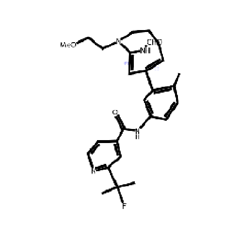 COCCN1CCC/C=C(c2cc(NC(=O)c3ccnc(C(C)(C)F)c3)ccc2C)\C=C\1NC=O